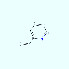 C=Cc1cc[c]cn1